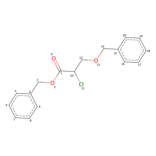 O=C(OCc1ccccc1)C(Cl)COCc1ccccc1